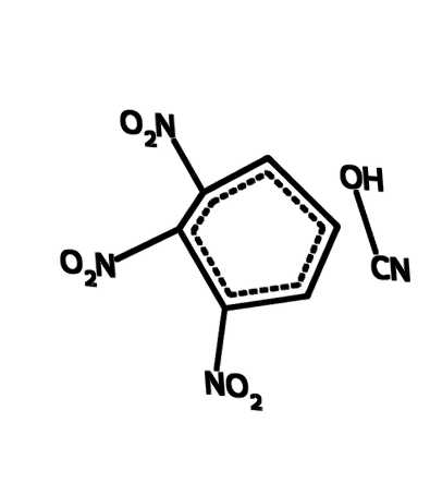 N#CO.O=[N+]([O-])c1cccc([N+](=O)[O-])c1[N+](=O)[O-]